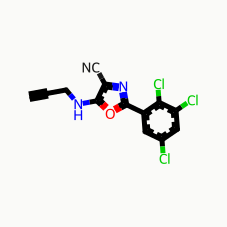 C#CCNc1oc(-c2cc(Cl)cc(Cl)c2Cl)nc1C#N